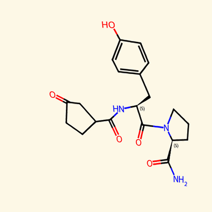 NC(=O)[C@@H]1CCCN1C(=O)[C@H](Cc1ccc(O)cc1)NC(=O)C1CCC(=O)C1